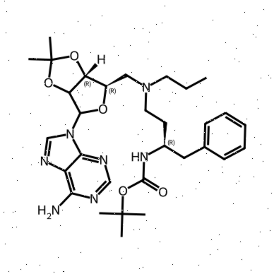 CCCN(CC[C@@H](Cc1ccccc1)NC(=O)OC(C)(C)C)C[C@H]1OC(n2cnc3c(N)ncnc32)C2OC(C)(C)O[C@@H]21